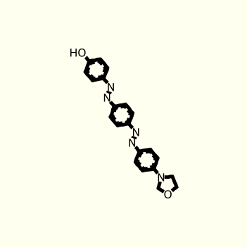 Oc1ccc(N=Nc2ccc(N=Nc3ccc(N4CCOC4)cc3)cc2)cc1